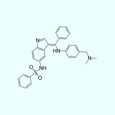 CN(C)Cc1ccc(NC(=C2C=Nc3ccc(NS(=O)(=O)c4ccccc4)cc32)c2ccccc2)cc1